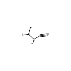 C#CC(C)[C](C)C